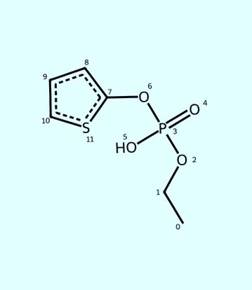 CCOP(=O)(O)Oc1cccs1